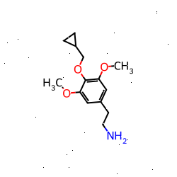 COc1cc(CCN)cc(OC)c1OCC1CC1